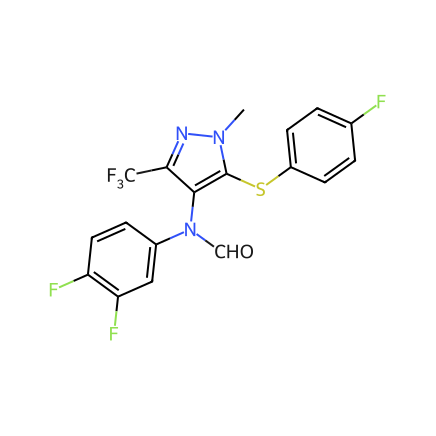 Cn1nc(C(F)(F)F)c(N(C=O)c2ccc(F)c(F)c2)c1Sc1ccc(F)cc1